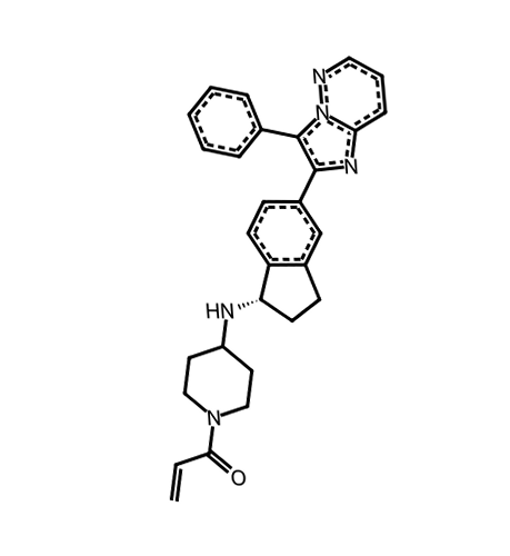 C=CC(=O)N1CCC(N[C@H]2CCc3cc(-c4nc5cccnn5c4-c4ccccc4)ccc32)CC1